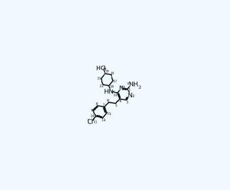 Nc1ncc(CCc2ccc(Cl)cc2)c(NC2CCC(O)CC2)n1